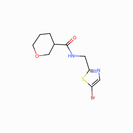 O=C(NCc1ncc(Br)s1)C1CCCOC1